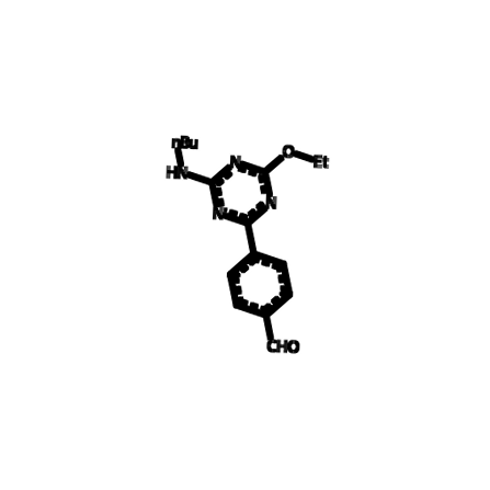 CCCCNc1nc(OCC)nc(-c2ccc(C=O)cc2)n1